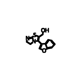 OCC1=C(c2coc3ccccc23)N2CCN=C2S1